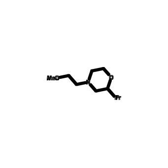 COCCN1CCOC(C(C)C)C1